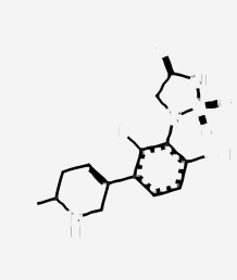 CC1CC=C(c2ccc(O)c(N3CC(=O)NS3(=O)=O)c2F)CN1